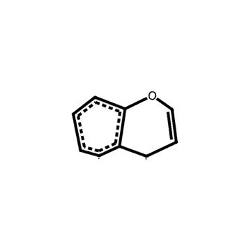 [c]1cccc2c1[CH]C=CO2